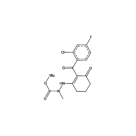 CN(NC1=C(C(=O)c2ccc(F)cc2Cl)C(=O)CCC1)C(=O)OC(C)(C)C